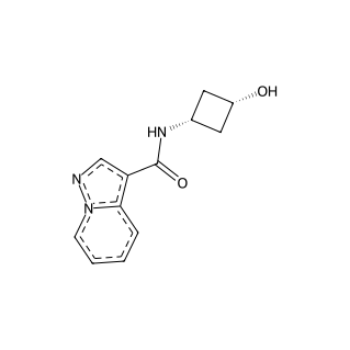 O=C(N[C@H]1C[C@@H](O)C1)c1cnn2ccccc12